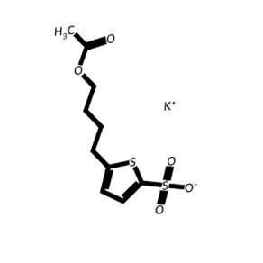 CC(=O)OCCCCc1ccc(S(=O)(=O)[O-])s1.[K+]